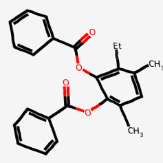 CCc1c(C)cc(C)c(OC(=O)c2ccccc2)c1OC(=O)c1ccccc1